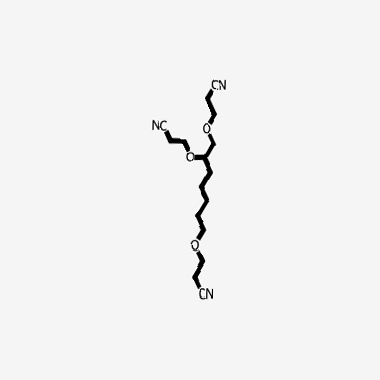 N#CCCOCCCCCC(COCCC#N)OCCC#N